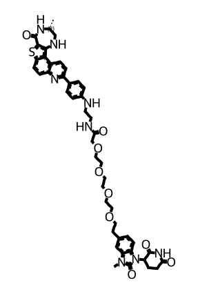 C[C@@H]1CNc2c(sc3ccc4nc(-c5ccc(NCCNC(=O)COCCOCCOCCOCCc6ccc7c(c6)n(C)c(=O)n7C6CCC(=O)NC6=O)cc5)ccc4c23)C(=O)N1